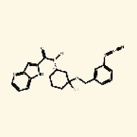 CCN(C(=O)c1cc2ncccc2[nH]1)[C@H]1CCCC(S)(NCc2cccc(N=[N+]=[N-])c2)C1